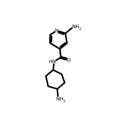 Nc1cc(C(=O)NC2CCC(N)CC2)ccn1